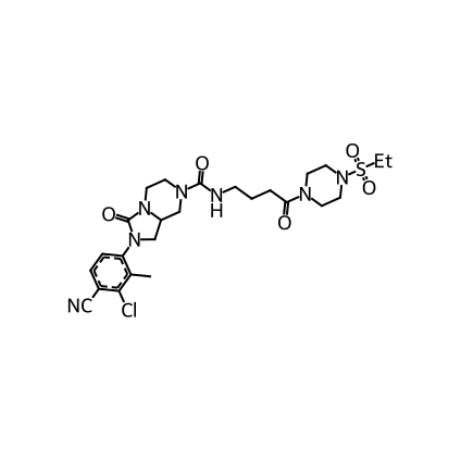 CCS(=O)(=O)N1CCN(C(=O)CCCNC(=O)N2CCN3C(=O)N(c4ccc(C#N)c(Cl)c4C)CC3C2)CC1